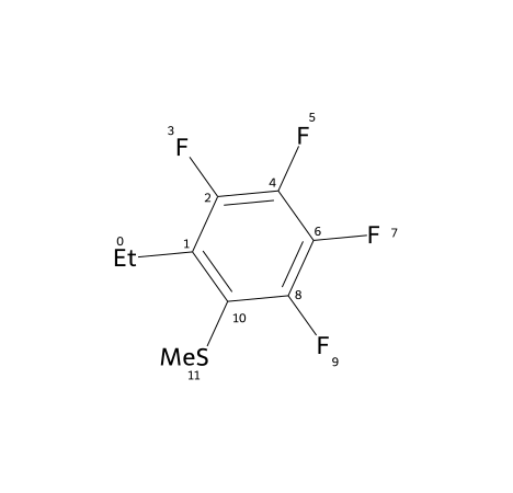 CCc1c(F)c(F)c(F)c(F)c1SC